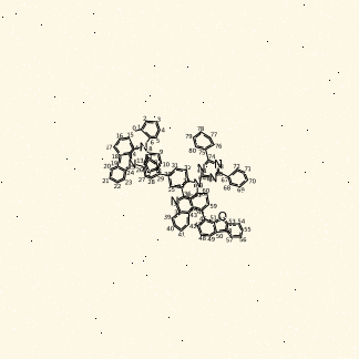 Cc1ccccc1N(c1ccccc1)c1cccc2c3ccccc3n(-c3ccc(-c4ccc5c(c4)-c4nc6ccccc6c6c(-c7cccc8c7oc7ccccc78)ccc(c46)N5c4nc(-c5ccccc5)nc(-c5ccccc5)n4)cc3)c12